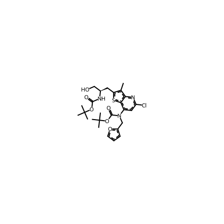 Cc1c(C[C@H](CO)NC(=O)OC(C)(C)C)sc2c(N(Cc3ccco3)C(=O)OC(C)(C)C)cc(Cl)nc12